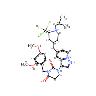 COc1ccc(CN2C(=O)CCN(c3cnn4ccc(CC5CCN(CC(C)C)C(C(F)(F)F)C5)cc34)C2=O)c(OC)c1